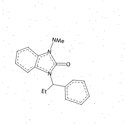 CCC(c1ccccc1)n1c(=O)n(NC)c2ccccc21